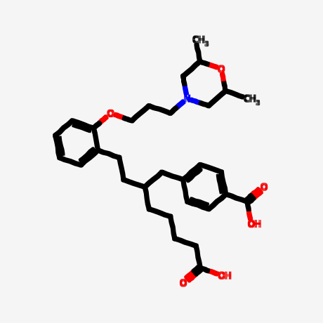 CC1CN(CCCOc2ccccc2CCC(CCCCC(=O)O)Cc2ccc(C(=O)O)cc2)CC(C)O1